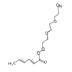 C/C=C/C=C/C(=O)OOCCOCCOCCO